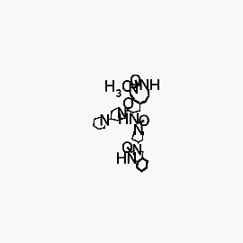 Cn1ccc(CC(NC(=O)N2CCC(N3Cc4ccccc4NC3=O)CC2)C(=O)N2CCC(N3CCCCC3)CC2)ccc[nH]c1=O